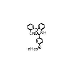 CCCCCCOc1ccc(C(=O)Nc2ccccc2Oc2ccccc2C#N)cc1